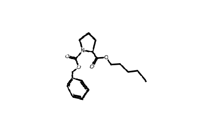 CCCCCOC(=O)C1CCCN1C(=O)OCc1ccccc1